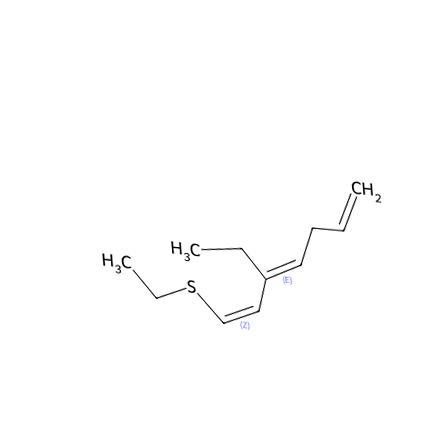 C=CC/C=C(/C=C\SCC)CC